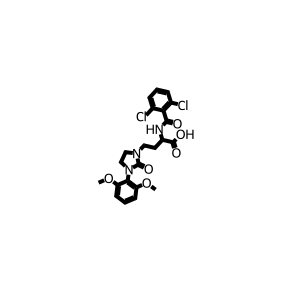 COc1cccc(OC)c1N1CCN(CCC(NC(=O)c2c(Cl)cccc2Cl)C(=O)O)C1=O